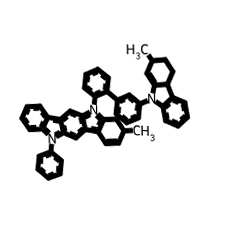 CC1C=C2C(CC1)c1ccccc1N2c1cccc(-c2ccccc2-n2c3c(c4cc5c(cc42)c2ccccc2n5-c2ccccc2)C=CC(C)C3)c1